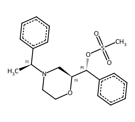 C[C@@H](c1ccccc1)N1CCO[C@H]([C@H](OS(C)(=O)=O)c2ccccc2)C1